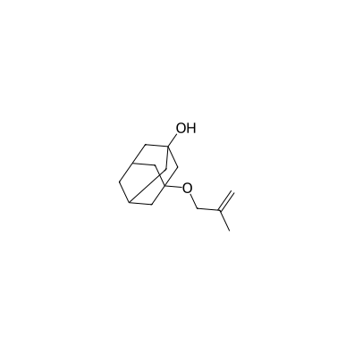 C=C(C)COC12CC3CC(CC(O)(C3)C1)C2